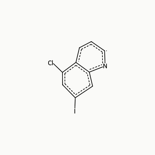 Clc1cc(I)cc2n[c]ccc12